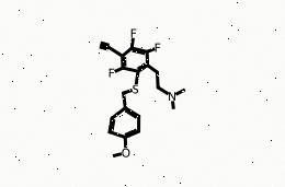 C#Cc1c(F)c(F)c(CCN(C)C)c(SCc2ccc(OC)cc2)c1F